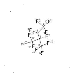 [O]C(F)(F)C(F)C(F)(C(F)(F)F)C(F)(F)F